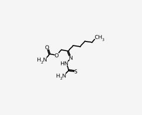 CCCCCC(COC(N)=O)=NNC(N)=S